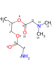 C[C](COC(=O)CN)OC(=O)CN(C)C